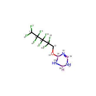 FC(F)C(F)(F)C(F)(F)C(F)(F)COp1np[nH][pH][nH]1